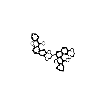 O=c1c2ccccc2oc2ccc3cc4c(cc3c12)OC(c1cc2ccc3c(c2c2c(=O)c5ccccc5oc12)OCCO3)CO4